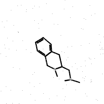 CN(C)CC1Cc2ccccc2CN1C